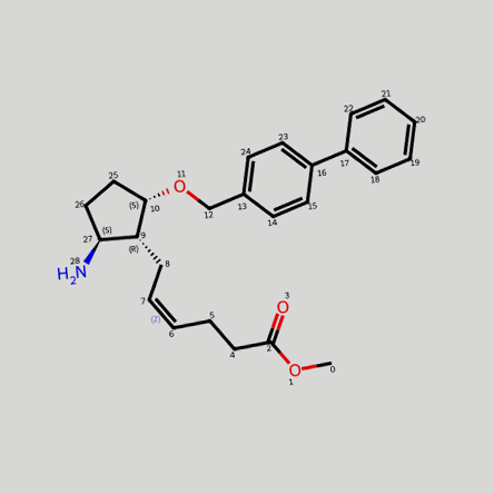 COC(=O)CC/C=C\C[C@H]1[C@@H](OCc2ccc(-c3ccccc3)cc2)CC[C@@H]1N